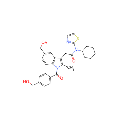 Cc1c(CC(=O)N(c2nccs2)C2CCCCC2)c2cc(CO)ccc2n1C(=O)c1ccc(CO)cc1